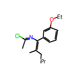 CCOc1cccc(C(/N=C(\C)Cl)=C(/C)CC(C)C)c1